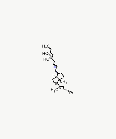 C=C[C@@H](O)C[C@H](O)C/C=C/C=C1\CCC[C@]2(C)[C@@H]([C@@H](C)CCCC(C)C)CC[C@@H]12